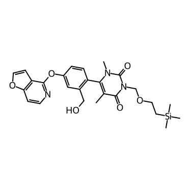 Cc1c(-c2ccc(Oc3nccc4occc34)cc2CO)n(C)c(=O)n(COCC[Si](C)(C)C)c1=O